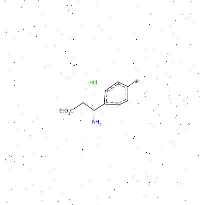 CCOC(=O)CC(N)c1ccc(C(C)C)cc1.Cl